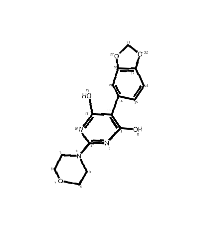 Oc1nc(N2CCOCC2)nc(O)c1-c1ccc2c(c1)OCO2